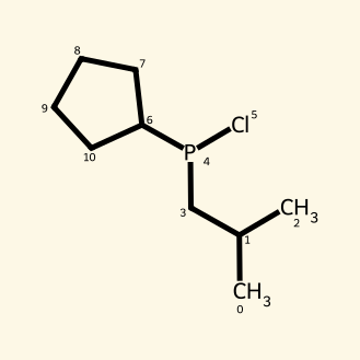 CC(C)CP(Cl)C1CCCC1